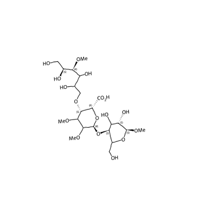 COC1C(OC)[C@H](OCC(O)C(O)[C@H](OC)[C@@H](O)CO)[C@H](C(=O)O)O[C@H]1O[C@@H]1C(CO)O[C@H](OC)[C@@H](O)C1O